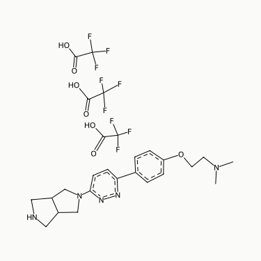 CN(C)CCOc1ccc(-c2ccc(N3CC4CNCC4C3)nn2)cc1.O=C(O)C(F)(F)F.O=C(O)C(F)(F)F.O=C(O)C(F)(F)F